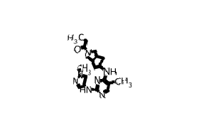 CCC(=O)N1CC2CC(Nc3nc(Nc4cnn(C)c4)ncc3C)CC2C1